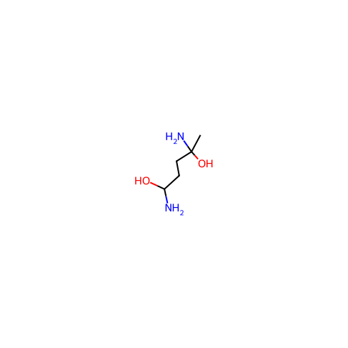 CC(N)(O)CCC(N)O